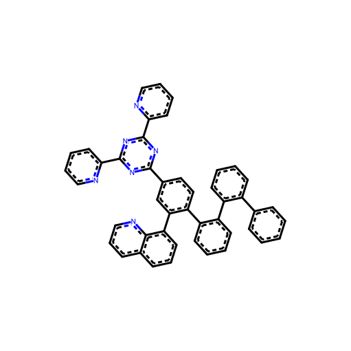 c1ccc(-c2ccccc2-c2ccccc2-c2ccc(-c3nc(-c4ccccn4)nc(-c4ccccn4)n3)cc2-c2cccc3cccnc23)cc1